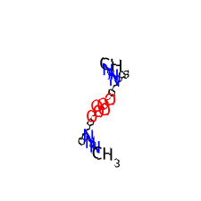 CCN1CCN(c2nc(C=Cc3ccc(OCCOC(=O)C(=O)OCCOc4ccc(C=Cc5cc6ccccc6c(N6CCN(CC)CC6)n5)cc4)cc3)cc3ccccc23)CC1